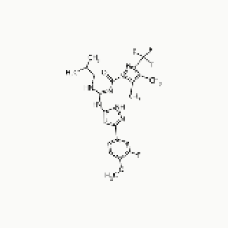 COc1ccc(-c2cc(NC(=NC(=O)n3nc(C(F)(F)F)c(C)c3C)NCC(C)C)[nH]n2)cc1F